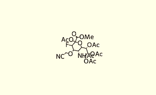 COC(=O)[C@]1(OC(C)=O)OC([C@H](OC(C)=O)[C@@H](COC(C)=O)OC(C)=O)[C@H](NC(C)=O)C(OCC#N)C1F